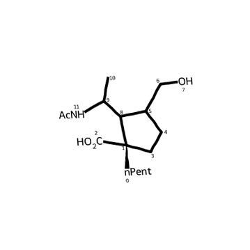 CCCCC[C@]1(C(=O)O)CCC(CO)C1C(C)NC(C)=O